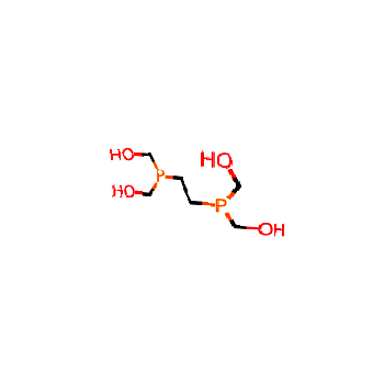 OCP(CO)CCP(CO)CO